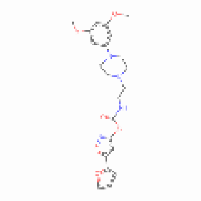 COc1cc(OC)cc(N2CCN(CCNC(=O)Oc3cc(-c4ccco4)on3)CC2)c1